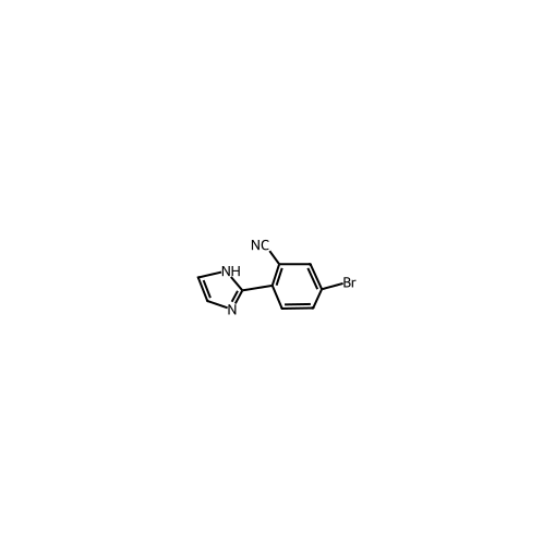 N#Cc1cc(Br)ccc1-c1ncc[nH]1